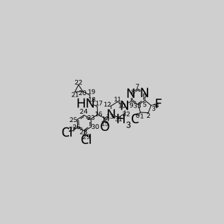 C[C@@H]1C[C@H](F)c2ncnc(N3CCN(C(=O)C(CNCC4CC4)c4ccc(Cl)c(Cl)c4)CC3)c21